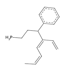 C=C/C(=C\C=C/C)C(CCP)c1ccccc1